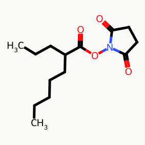 CCCCCC(CCC)C(=O)ON1C(=O)CCC1=O